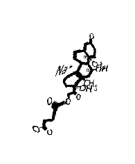 C[C@]12CCC(=O)C=C1CCC1C2[C@@H](O)C[C@@]2(C)C1CC[C@]2(O)C(=O)COC(=O)CCC(=O)[O-].[Na+]